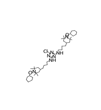 CC1(C)CC(CCCCNc2nc(Cl)nc(NCCCCC3CC(C)(C)N(OC4CCCCC4)C(C)(C)C3)n2)CC(C)(C)N1OC1CCCCC1